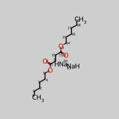 CCCCCCOC(=O)CCC(=O)OCCCCCC.[NaH].[NaH]